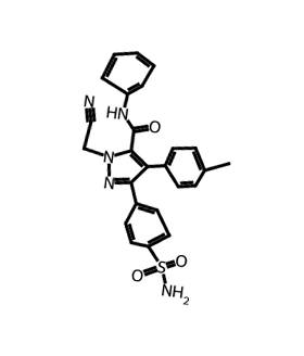 Cc1ccc(-c2c(-c3ccc(S(N)(=O)=O)cc3)nn(CC#N)c2C(=O)Nc2ccccc2)cc1